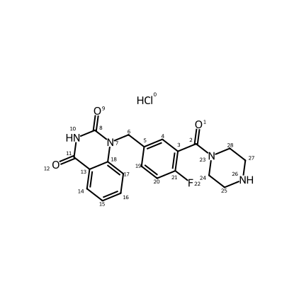 Cl.O=C(c1cc(Cn2c(=O)[nH]c(=O)c3ccccc32)ccc1F)N1CCNCC1